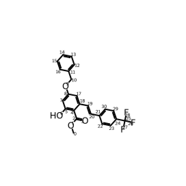 COC(=O)c1c(O)cc(OCc2ccccc2)cc1C=Cc1ccc(C(F)(F)F)cc1